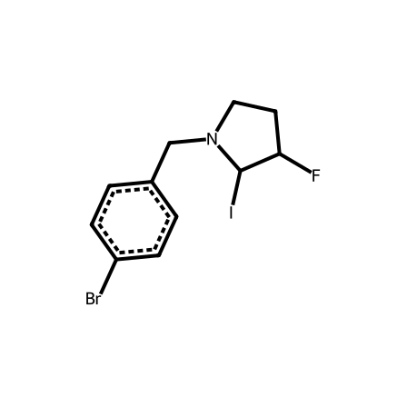 FC1CCN(Cc2ccc(Br)cc2)C1I